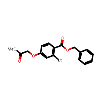 CCc1cc(OCC(=O)OC)ccc1C(=O)OCc1ccccc1